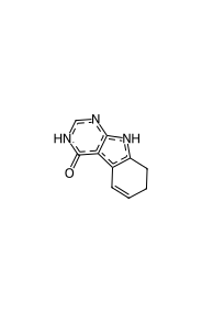 O=c1[nH]cnc2[nH]c3c(c12)C=CCC3